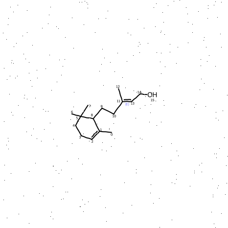 CC1=CCCC(C)(C)C1CC/C(C)=C/CO